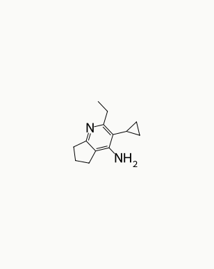 CCc1nc2c(c(N)c1C1CC1)CCC2